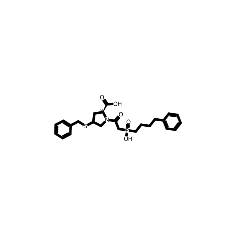 O=C(O)[C@@H]1CC(SCc2ccccc2)CN1C(=O)CP(=O)(O)CCCCc1ccccc1